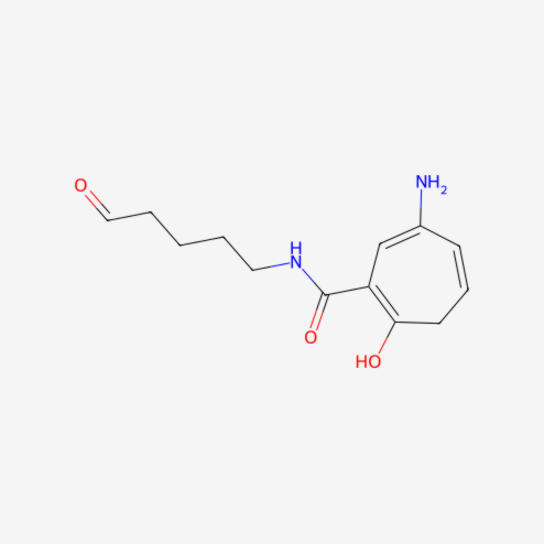 NC1=CC(C(=O)NCCCCC=O)=C(O)CC=C1